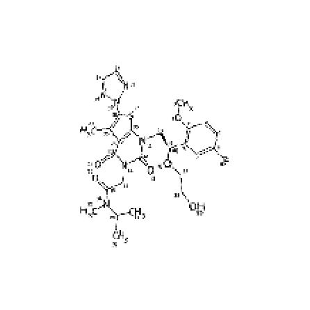 COc1ccc(F)cc1[C@H](Cn1c(=O)n(CC(=O)N(C)C(C)C)c(=O)c2c(C)c(-n3nccn3)sc21)OCCO